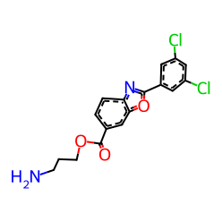 NCCCOC(=O)c1ccc2nc(-c3cc(Cl)cc(Cl)c3)oc2c1